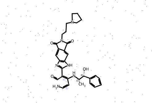 C[C@H](NC(/C=C\N)=C(/C=O)c1nc2cc3c(cc2[nH]1)C(=O)N(CCCN1CCCC1)C3=O)[C@H](O)c1ccccc1